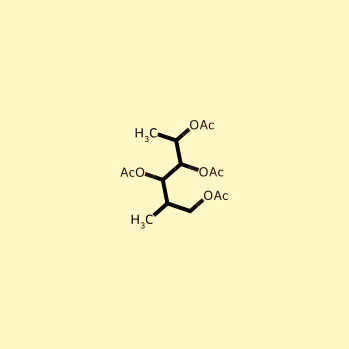 CC(=O)OCC(C)C(OC(C)=O)C(OC(C)=O)C(C)OC(C)=O